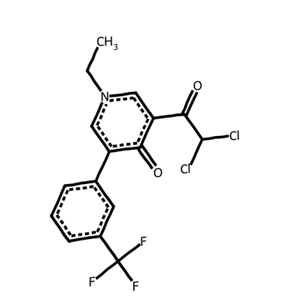 CCn1cc(C(=O)C(Cl)Cl)c(=O)c(-c2cccc(C(F)(F)F)c2)c1